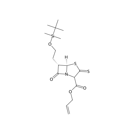 C=CCOC(=O)C1C(=S)S[C@@H]2[C@@H](CCO[Si](C)(C)C(C)(C)C)C(=O)N12